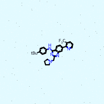 CC(C)(C)c1ccc(Nc2nc(CN3CCCC3)nc3cc(-c4ncccc4C(F)(F)F)ccc23)cc1